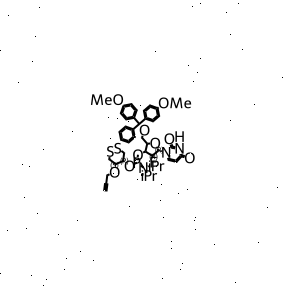 C#CCO[C@@H]1CSSC[C@@H]1OP(OC1C(COC(c2ccccc2)(c2ccc(OC)cc2)c2ccc(OC)cc2)O[C@@H](n2ccc(=O)[nH]c2=O)[C@@H]1F)N(C(C)C)C(C)C